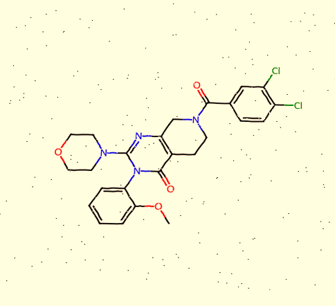 COc1ccccc1-n1c(N2CCOCC2)nc2c(c1=O)CCN(C(=O)c1ccc(Cl)c(Cl)c1)C2